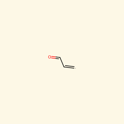 [CH]=CC=O